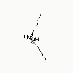 CCCCCC=CCC=CCCCCCCCCOCCC(CO)(CCOCCCCCCCCC=CCC=CCCCCC)C(C)N